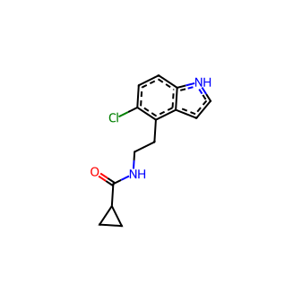 O=C(NCCc1c(Cl)ccc2[nH]ccc12)C1CC1